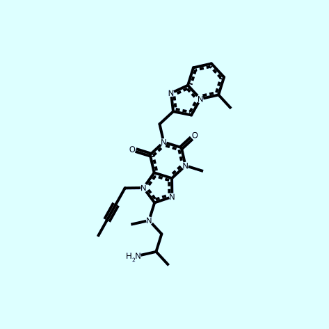 CC#CCn1c(N(C)CC(C)N)nc2c1c(=O)n(Cc1cn3c(C)cccc3n1)c(=O)n2C